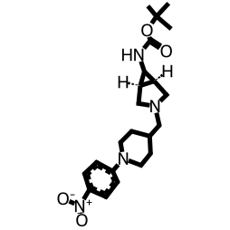 CC(C)(C)OC(=O)NC1[C@H]2CN(CC3CCN(c4ccc([N+](=O)[O-])cc4)CC3)C[C@@H]12